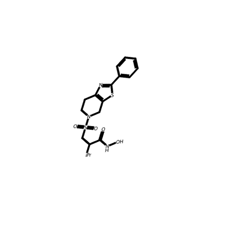 CC(C)C(CS(=O)(=O)N1CCc2nc(-c3ccccc3)sc2C1)C(=O)NO